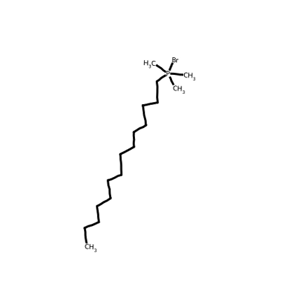 CCCCCCCCCCCCCCP(C)(C)(C)Br